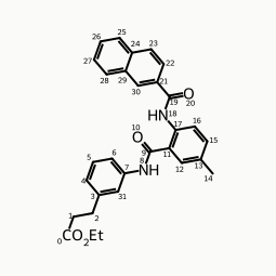 CCOC(=O)CCc1cccc(NC(=O)c2cc(C)ccc2NC(=O)c2ccc3ccccc3c2)c1